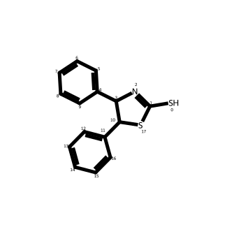 SC1=NC(c2ccccc2)C(c2ccccc2)S1